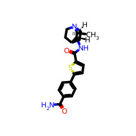 C[C@H]1[C@H](NC(=O)c2ccc(-c3ccc(C(N)=O)cc3)s2)C2CCN1CC2